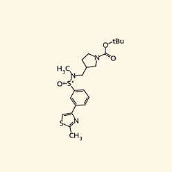 Cc1nc(-c2cccc([S+]([O-])N(C)CC3CCN(C(=O)OC(C)(C)C)C3)c2)cs1